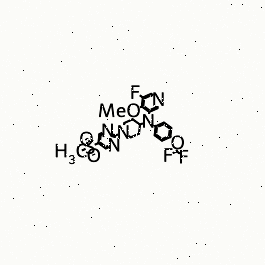 COc1c(F)cncc1N(c1ccc(OC(F)F)cc1)C1CCN(c2ncc(S(C)(=O)=O)cn2)CC1